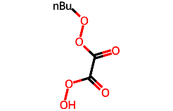 CCCCOOC(=O)C(=O)OO